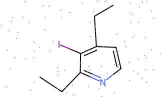 CCc1ccnc(CC)c1I